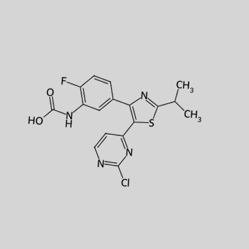 CC(C)c1nc(-c2ccc(F)c(NC(=O)O)c2)c(-c2ccnc(Cl)n2)s1